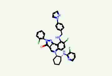 O=c1c2cn([C@@H]3CCCC[C@H]3Nc3ncccc3F)c3ccc(F)c(NCc4ccc(-n5cccn5)cc4)c3c-2nn1-c1ccccc1F